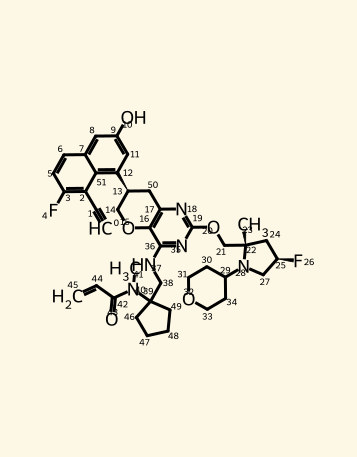 C#Cc1c(F)ccc2cc(O)cc([C@@H]3COc4c(nc(OC[C@]5(C)C[C@@H](F)CN5C5CCOCC5)nc4NCC4(N(C)C(=O)C=C)CCCC4)C3)c12